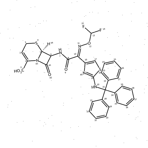 O=C(O)C1=CCS[C@H]2C(NC(=O)C(=NOC(F)F)c3csc(NC(c4ccccc4)(c4ccccc4)c4ccccc4)n3)C(=O)N12